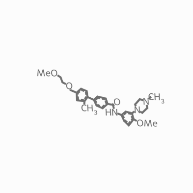 COCCOCc1ccc(-c2ccc(C(=O)Nc3ccc(OC)c(N4CCN(C)CC4)c3)cc2)c(C)c1